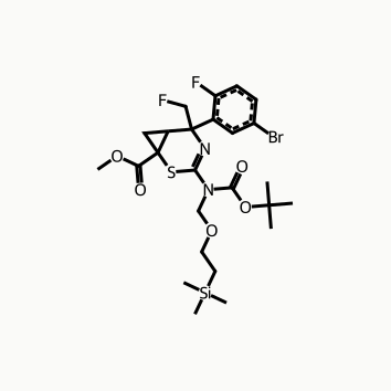 COC(=O)C12CC1C(CF)(c1cc(Br)ccc1F)N=C(N(COCC[Si](C)(C)C)C(=O)OC(C)(C)C)S2